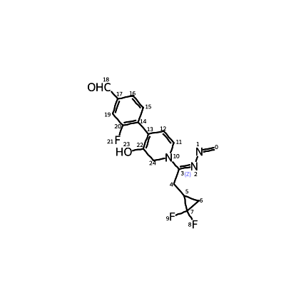 C=N/N=C(/CC1CC1(F)F)N1C=CC(c2ccc(C=O)cc2F)=C(O)C1